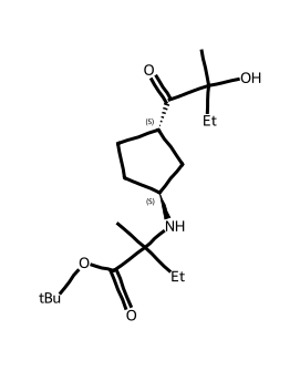 CCC(C)(O)C(=O)[C@H]1CC[C@H](NC(C)(CC)C(=O)OC(C)(C)C)C1